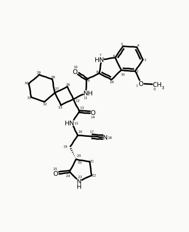 COc1cccc2[nH]c(C(=O)NC3(C(=O)NC(C#N)C[C@@H]4CCNC4=O)CC4(CCCCC4)C3)cc12